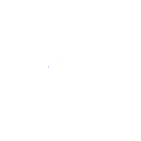 CCN(CCNC(=O)N1CCCCc2cc(OCc3ccccc3)ccc21)c1cccc(C)c1